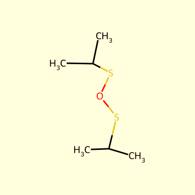 CC(C)SOSC(C)C